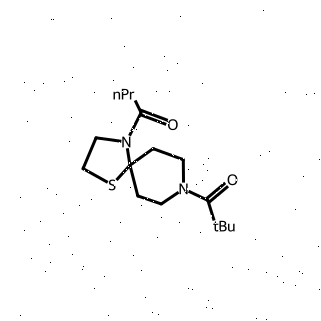 CCCC(=O)N1CCSC12CCN(C(=O)C(C)(C)C)CC2